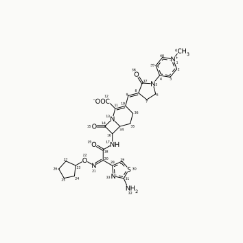 C[n+]1ccc(N2CCC(=CC3=C(C(=O)[O-])N4C(=O)C(NC(=O)/C(=N\OC5CCCC5)c5csc(N)n5)C4CC3)C2=O)cc1